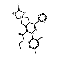 CCOC(=O)C1=C2C[C@@]3(CNC(=O)N3)CN2C(c2nccs2)=N[C@H]1c1ccc(F)cc1Cl